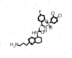 NCCCc1ccc2c(c1)CCCC2NC(=O)C[C@@H](NS(=O)(=O)c1ccc(Cl)c(Cl)c1)c1ccc(F)cc1